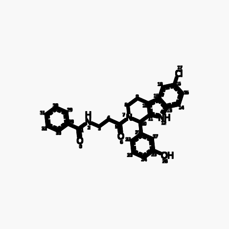 O=C(NCCC(=O)N1CCc2c([nH]c3ccc(Cl)cc23)C1c1cccc(O)c1)c1ccccc1